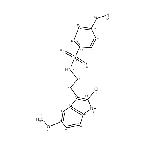 COc1[c]c2c(CCNS(=O)(=O)c3ccc(CCl)cc3)c(C)[nH]c2cc1